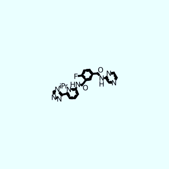 CC(C)n1cnnc1-c1cccc(NC(=O)c2cc(C(=O)Nc3cnccn3)ccc2F)n1